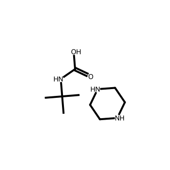 C1CNCCN1.CC(C)(C)NC(=O)O